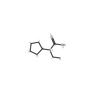 CCN(C(=O)O)C1CCCC1